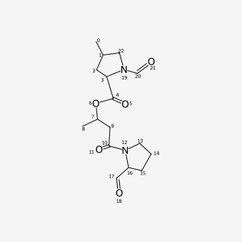 CC1CC(C(=O)OC(C)CC(=O)N2CCCC2C=O)N(C=O)C1